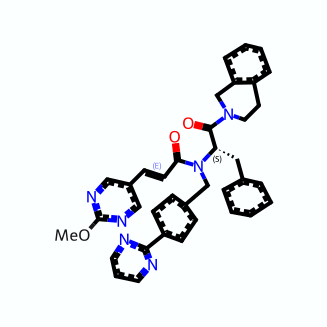 COc1ncc(/C=C/C(=O)N(Cc2ccc(-c3ncccn3)cc2)[C@@H](Cc2ccccc2)C(=O)N2CCc3ccccc3C2)cn1